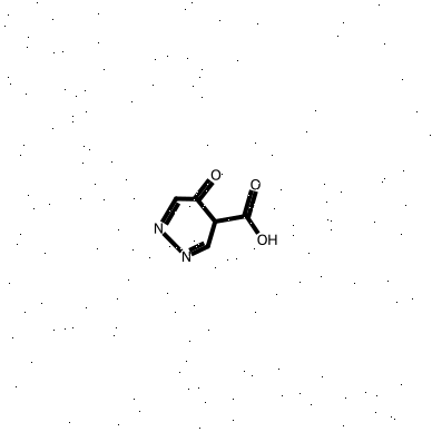 O=C(O)C1C=NN=CC1=O